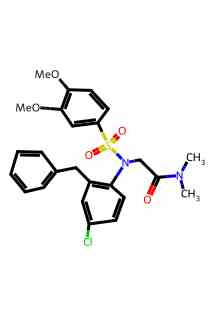 COc1ccc(S(=O)(=O)N(CC(=O)N(C)C)c2ccc(Cl)cc2Cc2ccccc2)cc1OC